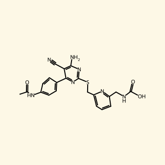 CC(=O)Nc1ccc(-c2nc(SCc3cccc(CNC(=O)O)n3)nc(N)c2C#N)cc1